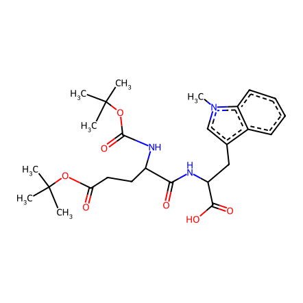 Cn1cc(CC(NC(=O)C(CCC(=O)OC(C)(C)C)NC(=O)OC(C)(C)C)C(=O)O)c2ccccc21